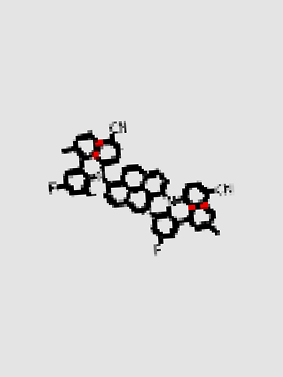 Cc1ccc(C)c(-c2cc(F)cc(F)c2N(c2ccc(C#N)cc2)c2ccc3ccc4c(N(c5ccc(C#N)cc5)c5c(F)cc(F)cc5-c5cc(C)ccc5C)ccc5ccc2c3c54)c1